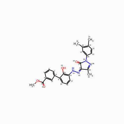 COC(=O)c1cccc(-c2cccc(N/N=C3\C(=O)N(c4ccc(C)c(C)c4)N=C3C)c2O)c1